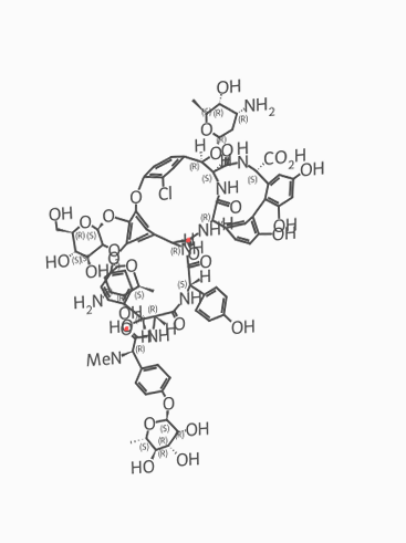 CN[C@@H](C(=O)N[C@H]1C(=O)N[C@@H](c2ccc(O)cc2)C(=O)N[C@H]2C(=O)N[C@H]3C(=O)N[C@H](C(=O)N[C@H](C(=O)O)c4cc(O)cc(O)c4-c4cc3ccc4O)[C@H](O[C@H]3C[C@@H](N)[C@@H](O)[C@H](C)O3)c3ccc(c(Cl)c3)Oc3cc2cc(c3O[C@@H]2O[C@H](CO)[C@@H](O)[C@H](O)C2O[C@H]2C[C@@H](N)[C@@H](O)[C@H](C)O2)Oc2ccc(cc2)[C@H]1O)c1ccc(O[C@@H]2O[C@@H](C)[C@H](O)[C@@H](O)[C@H]2O)cc1